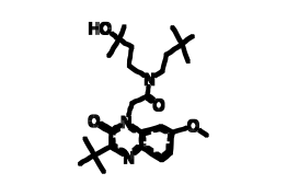 COc1ccc2nc(C(C)(C)C)c(=O)n(CC(=O)N(CCC(C)(C)C)CCC(C)(C)O)c2c1